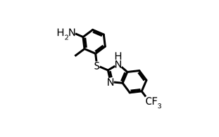 Cc1c(N)cccc1Sc1nc2cc(C(F)(F)F)ccc2[nH]1